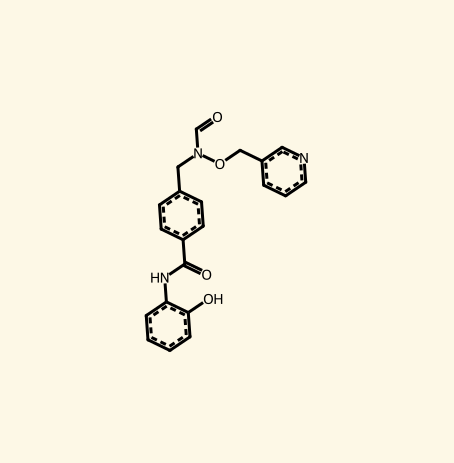 O=CN(Cc1ccc(C(=O)Nc2ccccc2O)cc1)OCc1cccnc1